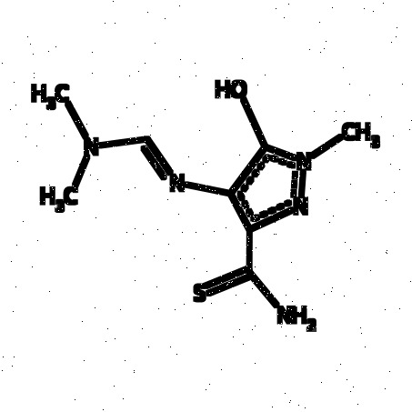 CN(C)C=Nc1c(C(N)=S)nn(C)c1O